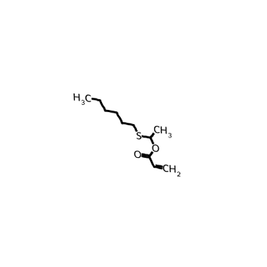 C=CC(=O)OC(C)SCCCCCC